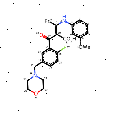 CCC(Nc1cccc(OC)c1)=C(C(=O)O)C(=O)c1cc(CN2CCOCC2)ccc1F